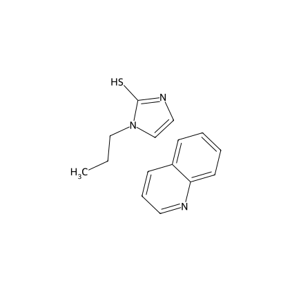 CCCn1ccnc1S.c1ccc2ncccc2c1